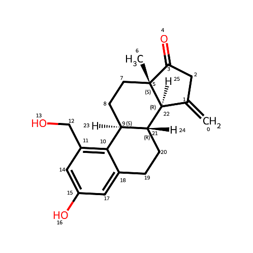 C=C1CC(=O)[C@@]2(C)CC[C@@H]3c4c(CO)cc(O)cc4CC[C@H]3[C@H]12